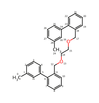 Cc1cccc(-c2ccccc2COCCOCc2ccccc2-c2cccc(C)c2)c1